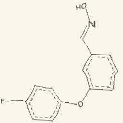 O/N=C/c1cccc(Oc2ccc(F)cc2)c1